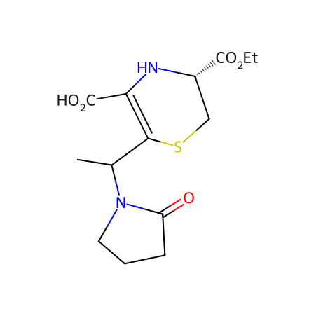 CCOC(=O)[C@@H]1CSC(C(C)N2CCCC2=O)=C(C(=O)O)N1